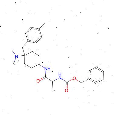 Cc1ccc(CC2(N(C)C)CCC(NC(=O)C(C)NC(=O)OCc3ccccc3)CC2)cc1